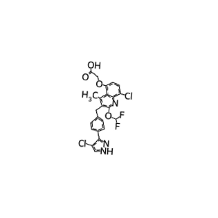 Cc1c(Cc2ccc(-c3n[nH]cc3Cl)cc2)c(OC(F)F)nc2c(Cl)ccc(OCC(=O)O)c12